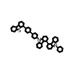 c1ccc(-n2c3ccccc3c3c(-c4cccc5c4c4ccccc4n5-c4ccc(-c5ccc(-c6cccc7c6sc6ccccc67)cc5)cc4)cccc32)cc1